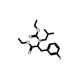 CCOC(=O)C(Cc1cccc(F)c1)N(CC(C)C)C(=O)OCC